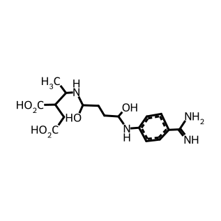 CC(NC(O)CCC(O)Nc1ccc(C(=N)N)cc1)C(CC(=O)O)C(=O)O